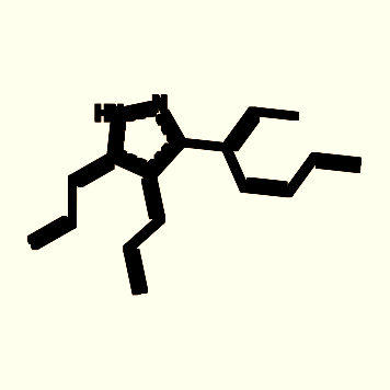 C=C/C=C\C(=C/C)c1n[nH]c(=C/C=C)/c1=C\C=C